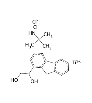 CC(C)(C)[NH-].OCC(O)c1cccc2c1Cc1ccccc1-2.[Cl-].[Cl-].[Ti+3]